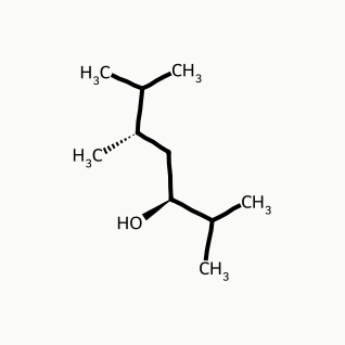 CC(C)[C@@H](C)C[C@H](O)C(C)C